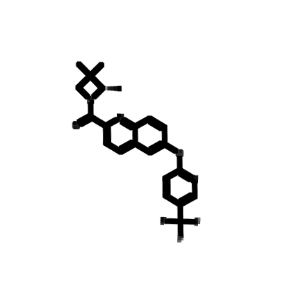 C[C@@H]1N(C(=O)c2ccc3cc(Oc4ccc(C(F)(F)F)cn4)ccc3n2)CC1(C)C